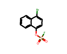 O=S(=O)(F)Oc1ccc(Br)c2ccccc12